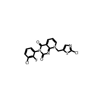 O=c1nc2n(Cc3cnc(Cl)s3)cccc-2c(=O)n1-c1cccc(Cl)c1F